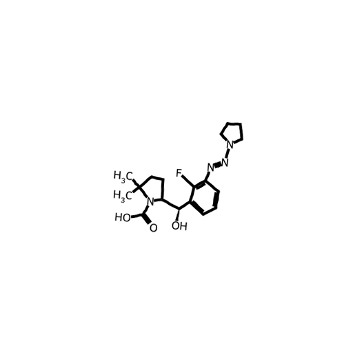 CC1(C)CCC([C@H](O)c2cccc(/N=N/N3CCCC3)c2F)N1C(=O)O